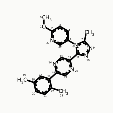 COc1ccc(-n2c(C)nnc2-c2cnc(-c3cc(C)ccc3C)cn2)cn1